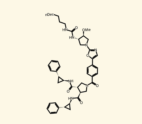 CCCCCCCCCCCCCNC(=O)N[C@H]1CN(c2ncc(-c3ccc(C(=O)N4C[C@@H](C(=O)N[C@H]5C[C@@H]5c5ccccc5)[C@H](C(=O)N[C@H]5C[C@@H]5c5ccccc5)C4)cc3)o2)C[C@@H]1OC